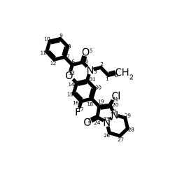 C=CCN1C(=O)C(c2ccccc2)Oc2cc(F)c(-c3c(Cl)n4n(c3=O)CCCC4)cc21